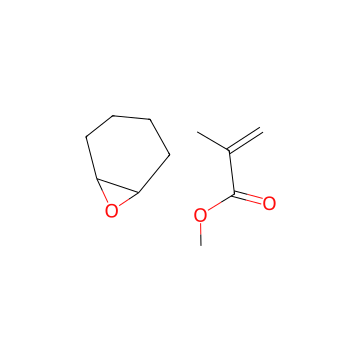 C1CCC2OC2C1.C=C(C)C(=O)OC